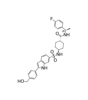 C[C@@H](NC(=O)[C@H]1CC[C@H](NS(=O)(=O)c2ccc3cc(-c4ccc(CO)cc4)[nH]c3c2)CC1)c1ccc(F)cc1